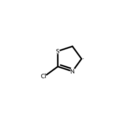 ClC1=N[CH]CS1